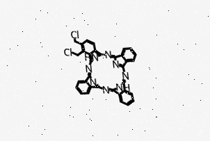 ClCc1ccc2c3nc4nc(nc5[nH]c(nc6nc(nc([nH]3)c2c1CCl)-c1ccccc1-6)c1ccccc51)-c1ccccc1-4